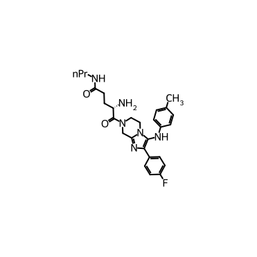 CCCNC(=O)CC[C@H](N)C(=O)N1CCn2c(nc(-c3ccc(F)cc3)c2Nc2ccc(C)cc2)C1